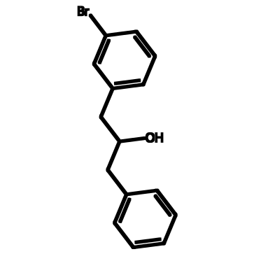 OC(Cc1ccccc1)Cc1cccc(Br)c1